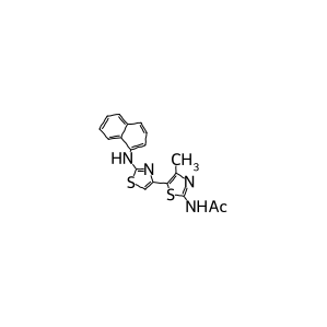 CC(=O)Nc1nc(C)c(-c2csc(Nc3cccc4ccccc34)n2)s1